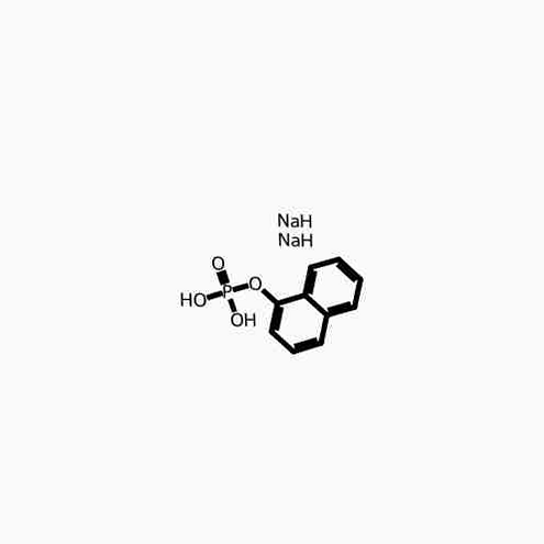 O=P(O)(O)Oc1cccc2ccccc12.[NaH].[NaH]